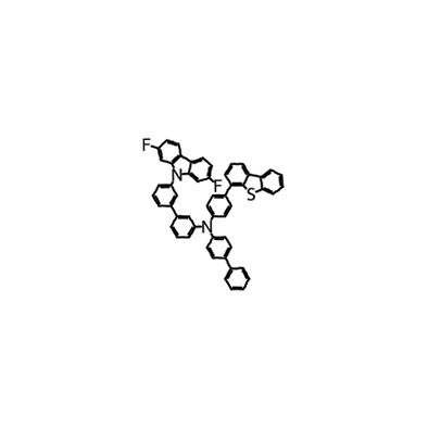 Fc1ccc2c3ccc(F)cc3n(-c3cccc(-c4cccc(N(c5ccc(-c6ccccc6)cc5)c5ccc(-c6cccc7c6sc6ccccc67)cc5)c4)c3)c2c1